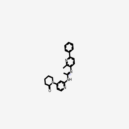 C/C(=N\c1ccc(-c2ccccc2)nc1C)Nc1cc(N2CCCCC2=O)ccn1